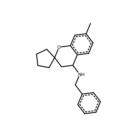 Cc1ccc2c(c1)OC1(CCCC1)CC2NCc1ccccc1